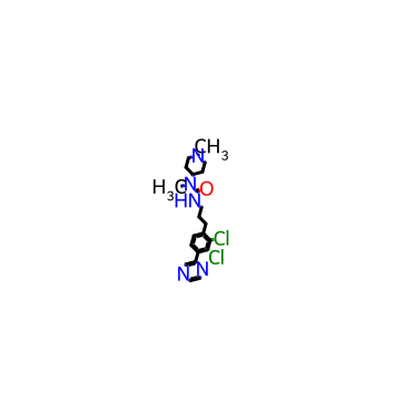 CN1CCC(N(C)C(=O)NCCCc2ccc(-c3cnccn3)c(Cl)c2Cl)CC1